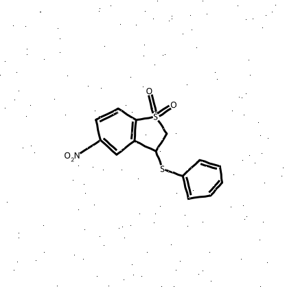 O=[N+]([O-])c1ccc2c(c1)C(Sc1ccccc1)CS2(=O)=O